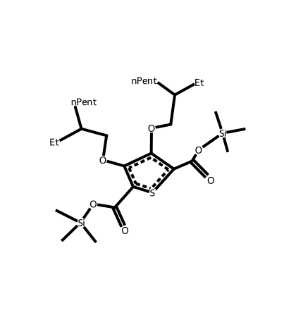 CCCCCC(CC)COc1c(C(=O)O[Si](C)(C)C)sc(C(=O)O[Si](C)(C)C)c1OCC(CC)CCCCC